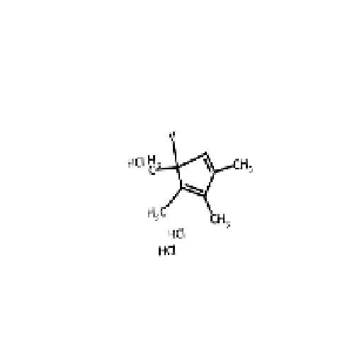 CC1=C[C](C)([V])C(C)=C1C.Cl.Cl.Cl